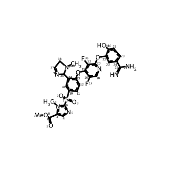 COC(=O)c1cnc(S(=O)(=O)c2ccc(Oc3c(F)cnc(Oc4cc(C(=N)N)ccc4O)c3F)c(C3N=CCN3C)c2)n1C